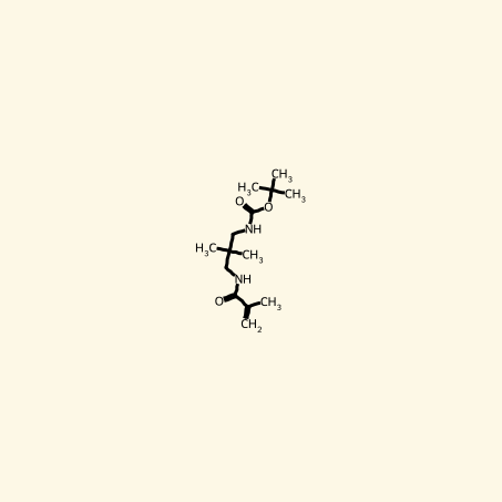 C=C(C)C(=O)NCC(C)(C)CNC(=O)OC(C)(C)C